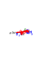 CCCCCCCCCCCCCCCCCC(=O)OCC(CCCC(O)OC[C@H]1O[C@@H](n2cnc3c(=O)[nH]c(N)nc32)CC1F)COC(=O)[C@@H](N)C(C)C